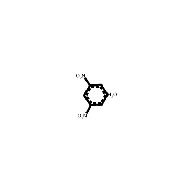 O.O=[N+]([O-])c1[c]ccc([N+](=O)[O-])c1